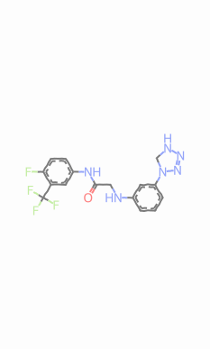 O=C(CNc1cccc(N2CNN=N2)c1)Nc1ccc(F)c(C(F)(F)F)c1